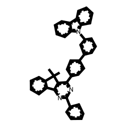 CC1(C)c2ccccc2-c2nc(-c3ccccc3)nc(-c3ccc(-c4cccc(-n5c6ccccc6c6ccccc65)c4)cc3)c21